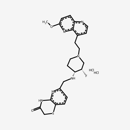 COc1ccc2nccc(CCN3CC[C@@H](NCc4ccc5c(n4)NC(=O)CS5)[C@@H](F)C3)c2n1.Cl.Cl